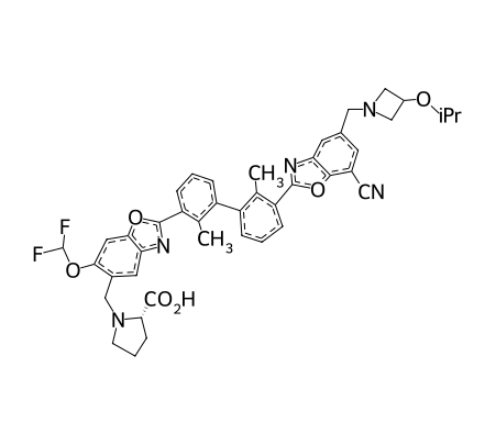 Cc1c(-c2nc3cc(CN4CCC[C@H]4C(=O)O)c(OC(F)F)cc3o2)cccc1-c1cccc(-c2nc3cc(CN4CC(OC(C)C)C4)cc(C#N)c3o2)c1C